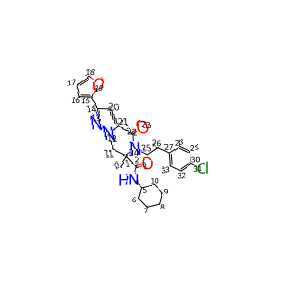 CC1(C(=O)NC2CCCCC2)Cn2nc(-c3ccco3)cc2C(=O)N1CCc1ccc(Cl)cc1